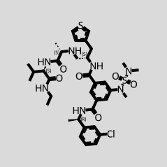 CCNC(=O)[C@@H](NC(=O)[C@H](C)NC[C@H](Cc1ccsc1)NC(=O)c1cc(C(=O)N[C@H](C)c2cccc(Cl)c2)cc(N(C)S(=O)(=O)N(C)C)c1)C(C)C